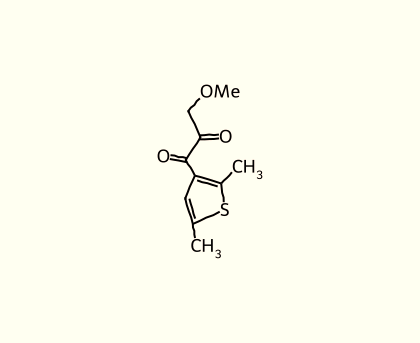 COCC(=O)C(=O)c1cc(C)sc1C